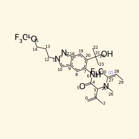 C=C(C)C(C(=O)Nc1cc2cn(CCCOC(F)(F)F)nc2cc1C(C)(C)O)N(C)/C(=C\C)C(F)(F)F